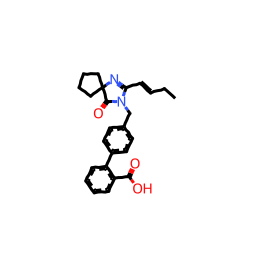 CC/C=C/C1=NC2(CCCC2)C(=O)N1Cc1ccc(-c2ccccc2C(=O)O)cc1